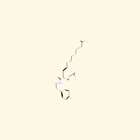 CCCCCCCC(=O)CCCCCC/C=C/[C@H](C(=O)N[C@@H](Cc1ccc(O)cc1)C(=O)O)[C@@](O)(CC(N)=O)C(=O)O